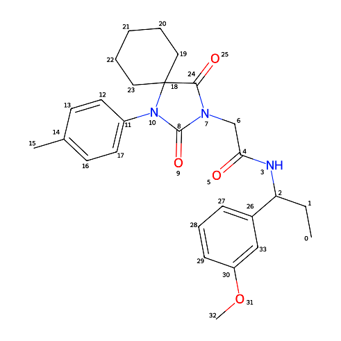 CCC(NC(=O)CN1C(=O)N(c2ccc(C)cc2)C2(CCCCC2)C1=O)c1cccc(OC)c1